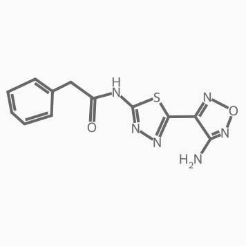 Nc1nonc1-c1nnc(NC(=O)Cc2ccccc2)s1